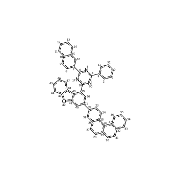 c1ccc(-c2nc(-c3ccc4ccccc4c3)nc(-c3cc(-c4ccc5c(ccc6ccc7ccccc7c65)c4)cc4oc5ccccc5c34)n2)cc1